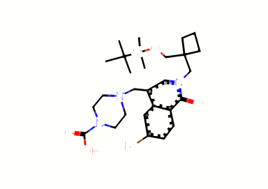 CC(C)(C)[Si](C)(C)OCC1(Cn2cc(CN3CCN(C(=O)O)CC3)c3cc(Br)ccc3c2=O)CCC1